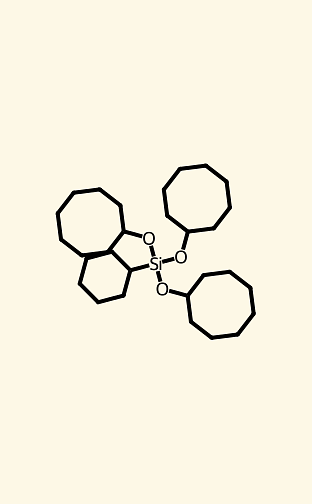 C1CCCC(O[Si](OC2CCCCCCC2)(OC2CCCCCCC2)C2CCCCC2)CCC1